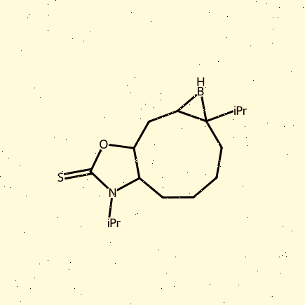 CC(C)N1C(=S)OC2CC3BC3(C(C)C)CCCCC21